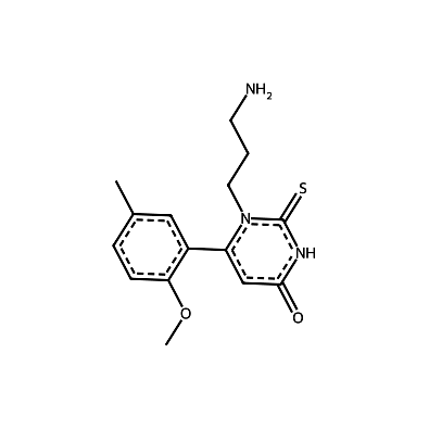 COc1ccc(C)cc1-c1cc(=O)[nH]c(=S)n1CCCN